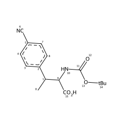 CC(c1ccc(C#N)cc1)C(NC(=O)OC(C)(C)C)C(=O)O